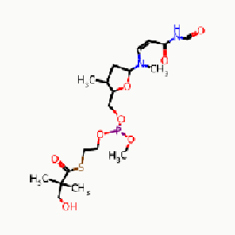 COP(OCCSC(=O)C(C)(C)CO)OCC1OC(N(C)/C=C\C(=O)NC=O)CC1C